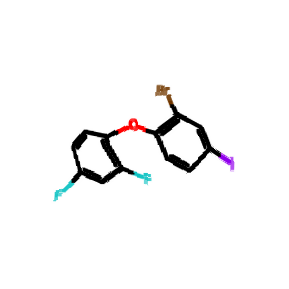 Fc1ccc(Oc2ccc(I)cc2Br)c(F)c1